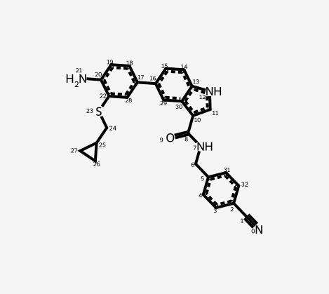 N#Cc1ccc(CNC(=O)c2c[nH]c3ccc(-c4ccc(N)c(SCC5CC5)c4)cc23)cc1